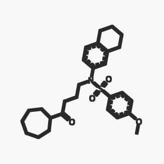 COc1ccc(S(=O)(=O)N(CCCC(=O)C2CCCCCC2)c2ccc3c(c2)CCCC3)cc1